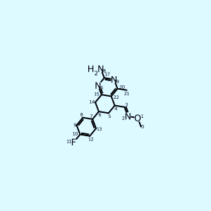 CON=CC1CC(c2ccc(F)cc2)Cc2nc(N)nc(C)c21